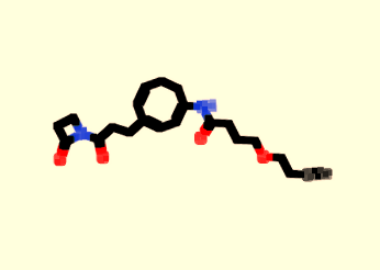 COCCOCCCC(=O)N/C1=C/C=C(CCC(=O)N2CCC2=O)\C=C/CC1